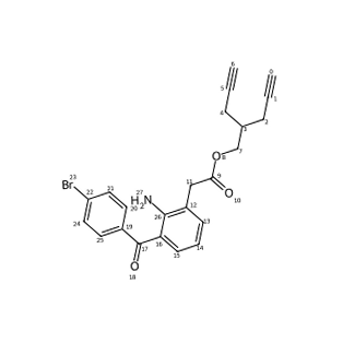 C#CCC(CC#C)COC(=O)Cc1cccc(C(=O)c2ccc(Br)cc2)c1N